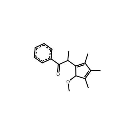 COC1C(C)=C(C)C(C)=C1C(C)C(=O)c1ccccc1